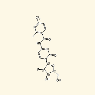 Cc1nc(C(F)(F)F)ccc1C(=O)Nc1ccn([C@H]2O[C@H](CO)[C@@H](O)[C@H]2F)c(=O)n1